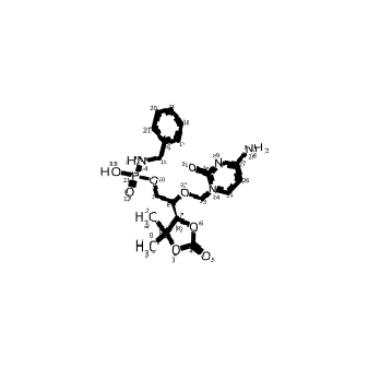 CC1(C)OC(=O)O[C@@H]1C(COP(=O)(O)NCc1ccccc1)OCn1ccc(N)nc1=O